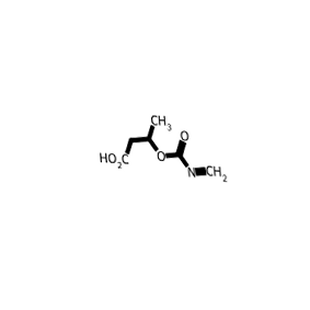 C=NC(=O)OC(C)CC(=O)O